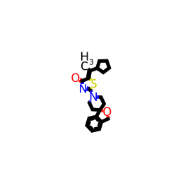 C/C(=C1/SC(N2CCC3(CC2)OCc2ccccc23)=NC1=O)C1CCCC1